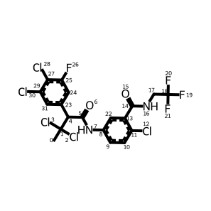 CC(Cl)(Cl)C(C(=O)Nc1ccc(Cl)c(C(=O)NCC(F)(F)F)c1)c1cc(F)c(Cl)c(Cl)c1